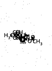 CC(=O)On1ccc2c(O[Si](C)(C)C(C)(C)C)cccc21